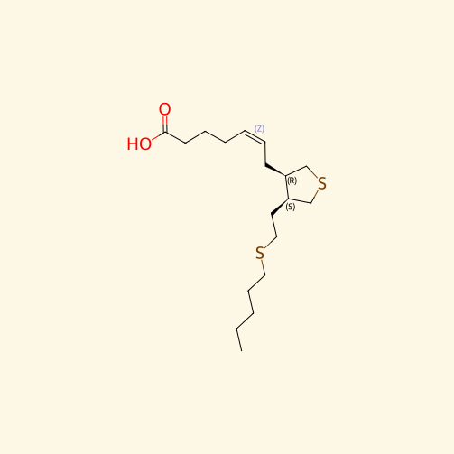 CCCCCSCC[C@@H]1CSC[C@@H]1C/C=C\CCCC(=O)O